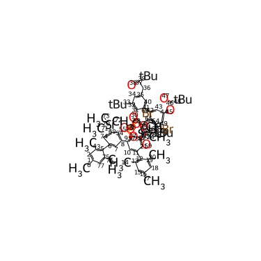 Cc1cc(C)c(-c2cc(-c3cc(-c4c(C)cc(C)cc4C)cc([Si](C)(C)C)c3Op3oc4c(C(C)(C)C)cc(CC(=O)C(C)(C)C)cc4c4cc(OC(=O)C(C)(C)C)cc(C(C)(C)C)c4o3)c(OP3OC(=O)c4cc(Br)cc(Br)c4O3)c([Si](C)(C)C)c2)c(C)c1